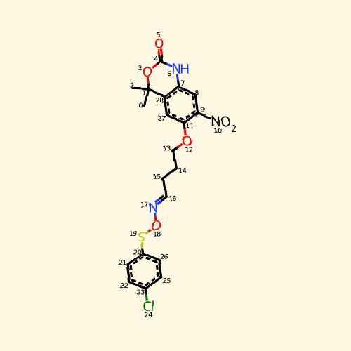 CC1(C)OC(=O)Nc2cc([N+](=O)[O-])c(OCCCC=NOSc3ccc(Cl)cc3)cc21